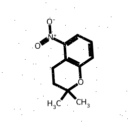 CC1(C)C[C]c2c(cccc2[N+](=O)[O-])O1